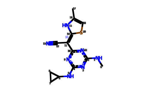 CNc1nc(NC2CC2)nc(/C(C#N)=C2/NC(C)=CS2)n1